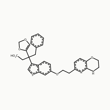 O=C(O)CC(Cc1ccccc1)(C1=COCO1)c1csc2cc(OCCc3ccc4c(n3)NCCO4)ccc12